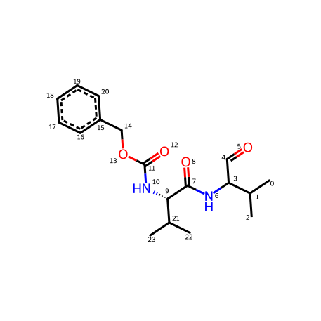 CC(C)C(C=O)NC(=O)[C@@H](NC(=O)OCc1ccccc1)C(C)C